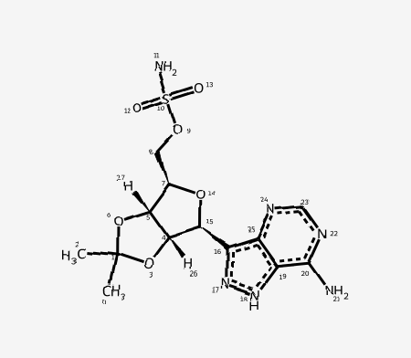 CC1(C)O[C@@H]2[C@H](O1)[C@@H](COS(N)(=O)=O)O[C@H]2c1n[nH]c2c(N)ncnc12